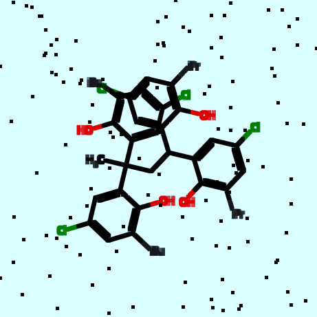 CCC(C)c1cc(Cl)cc(C(C)(CC(c2cc(Cl)cc(C(C)C)c2O)c2cc(Cl)cc(C(C)C)c2O)c2cc(Cl)cc(C(C)CC)c2O)c1O